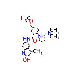 COCc1ccc(N2CCCC2CN(C)C)c(C(=O)Nc2ccc3nc(O)cc(C)c3c2)c1